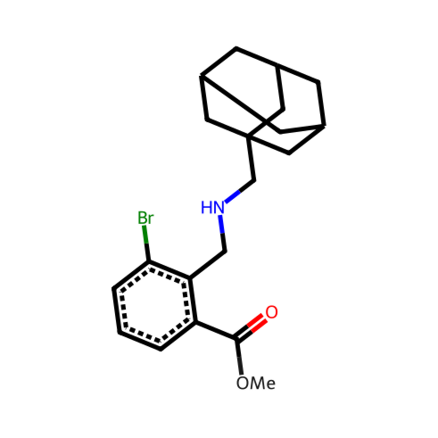 COC(=O)c1cccc(Br)c1CNCC12CC3CC(CC(C3)C1)C2